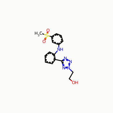 CS(=O)(=O)c1cccc(Nc2ccccc2-c2nnn(CCO)n2)c1